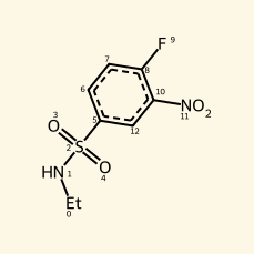 CCNS(=O)(=O)c1ccc(F)c([N+](=O)[O-])c1